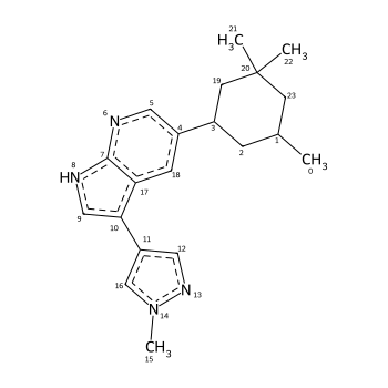 CC1CC(c2cnc3[nH]cc(-c4cnn(C)c4)c3c2)CC(C)(C)C1